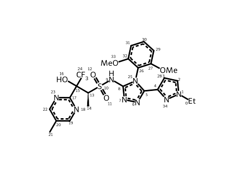 CCn1ccc(-c2nnc(NS(=O)(=O)[C@@H](C)C(O)(c3ncc(C)cn3)C(F)(F)F)n2-c2c(OC)cccc2OC)n1